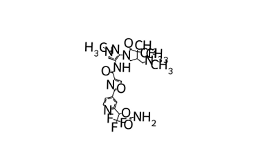 CN(C)CC1CN(c2nn(C)cc2NC(=O)c2coc(-c3ccnc(C(OC(N)=O)C(F)(F)F)c3)n2)C(=O)C1(C)C